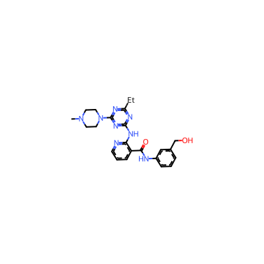 CCc1nc(Nc2ncccc2C(=O)Nc2cccc(CO)c2)nc(N2CCN(C)CC2)n1